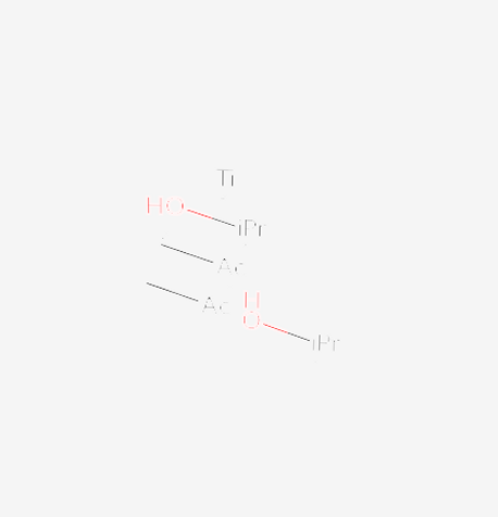 CC(C)=O.CC(C)=O.CC(C)O.CC(C)O.[Ti]